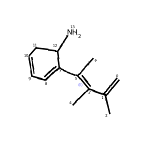 C=C(C)/C(C)=C(\C)C1=CC=CCC1N